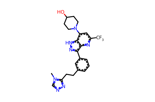 Cn1cnnc1CCc1cccc(-c2n[nH]c3c(N4CCC(O)CC4)cc(C(F)(F)F)nc23)c1